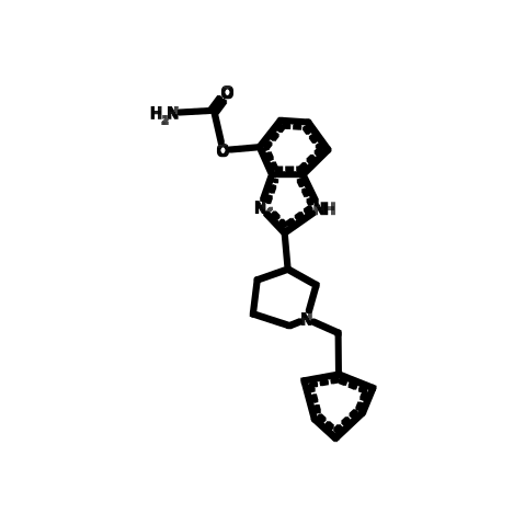 NC(=O)Oc1cccc2[nH]c(C3CCCN(Cc4ccccc4)C3)nc12